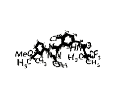 COC(C)(C)c1cccc(-c2nc(O)nc(-c3cc(CNC(=O)C(C)(C)C(F)(F)F)ccc3Cl)n2)c1